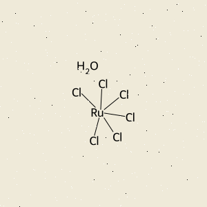 O.[Cl][Ru]([Cl])([Cl])([Cl])([Cl])[Cl]